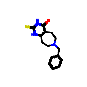 O=c1[nH]c(=S)[nH]c2c1CCN(Cc1ccccc1)CC2